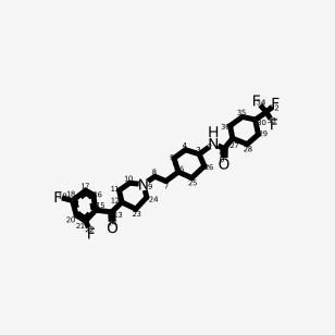 O=C(NC1CCC(CCN2CCC(C(=O)c3ccc(F)cc3F)CC2)CC1)C1CCC(C(F)(F)F)CC1